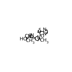 C[C@@H]1CC[C@@H](c2cc(C(C)(C)O)sn2)CN1C(=O)c1ccsc1-c1ncccn1